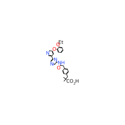 CCOc1ccccc1Oc1cncc(-c2cncc(NC(=O)Cc3ccc(CC(C)(C)C(=O)O)cc3)n2)c1